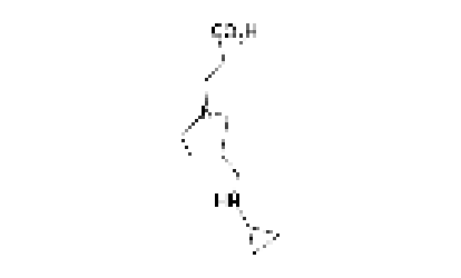 O=C(O)CCN1CCC(CNC2CC2)C1